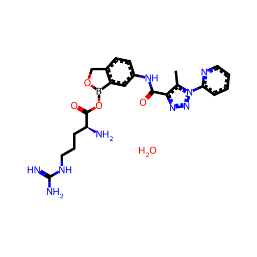 Cc1c(C(=O)Nc2ccc3c(c2)B(OC(=O)[C@@H](N)CCCNC(=N)N)OC3)nnn1-c1ccccn1.O